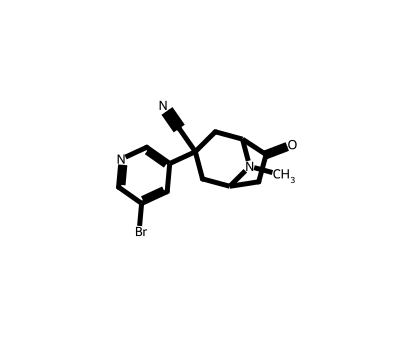 CN1C2CC(=O)C1CC(C#N)(c1cncc(Br)c1)C2